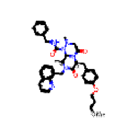 COCCCOc1ccc(C[C@H]2C(=O)N(Cc3cccc4cccnc34)[C@@H](C)C3N2C(=O)CN(C)N3C(=O)NCc2ccccc2)cc1